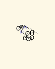 CCCCCCCC/C=C/[C@H]1C=CC(=O)[C@@H]1C/C=C\CCC(O)C(=O)COC(C)=O